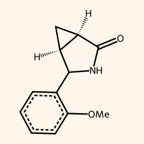 COc1ccccc1C1NC(=O)[C@@H]2C[C@H]12